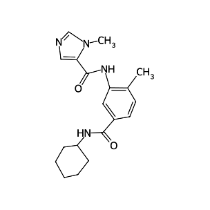 Cc1ccc(C(=O)NC2CCCCC2)cc1NC(=O)c1cncn1C